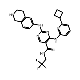 O=C(NCC(F)(F)F)c1cnc(Nc2ccc3c(c2)CCNC3)nc1Nc1cccc(C2CCC2)n1